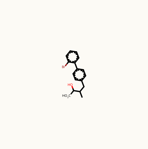 CC(Cc1ccc(-c2ccccc2Br)cc1)C(O)C(=O)O